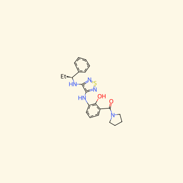 CC[C@H](Nc1nsnc1Nc1cccc(C(=O)N2CCCC2)c1O)c1ccccc1